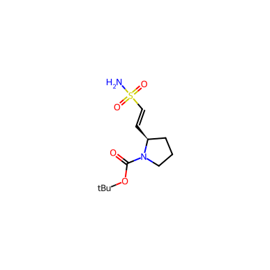 CC(C)(C)OC(=O)N1CCC[C@@H]1C=CS(N)(=O)=O